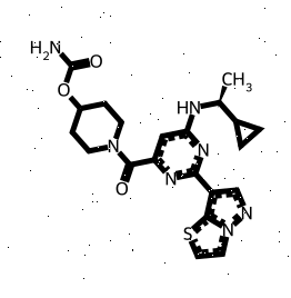 C[C@H](Nc1cc(C(=O)N2CCC(OC(N)=O)CC2)nc(-c2cnn3ccsc23)n1)C1CC1